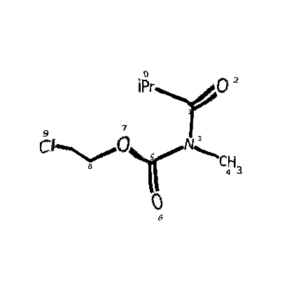 CC(C)C(=O)N(C)C(=O)OCCl